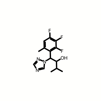 Cc1cc(F)c(F)c(F)c1C(C(O)C(C)C)n1cncn1